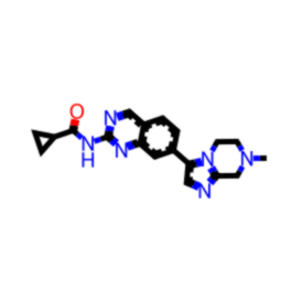 CN1CCn2c(-c3ccc4cnc(NC(=O)C5CC5)nc4c3)cnc2C1